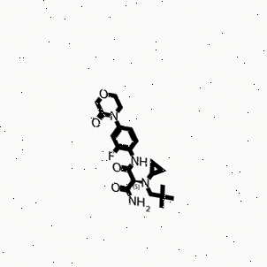 CC(C)(C)CN(C1CC1)[C@@H](C(N)=O)C(=O)Nc1ccc(N2CCOCC2=O)cc1F